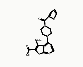 CNc1c(C(N)=O)sc2nccc(N3CCN(C(=O)c4ccco4)CC3)c12